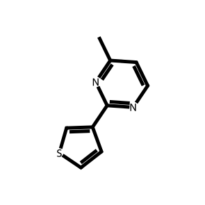 Cc1ccnc(-c2ccsc2)n1